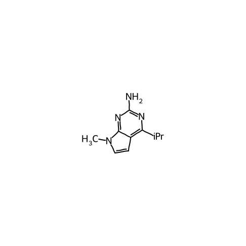 CC(C)c1nc(N)nc2c1ccn2C